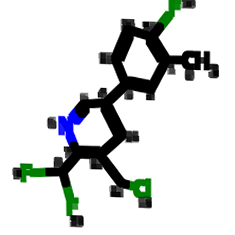 Cc1cc(-c2cnc(C(F)F)c(CCl)c2)ccc1F